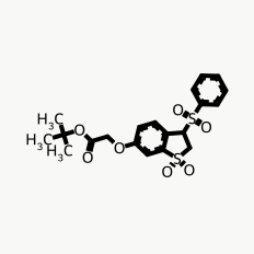 CC(C)(C)OC(=O)COc1ccc2c(c1)S(=O)(=O)CC2S(=O)(=O)c1ccccc1